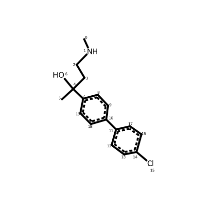 CNCCC(C)(O)c1ccc(-c2ccc(Cl)cc2)cc1